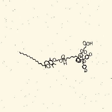 CCCCCCCCCCCCCCCCC1(C)CCc2c(C)c(OCCOC(=O)NCCCCCC(=O)N3CC(OC(=O)CCC(=O)O)CC3C(OCc3ccc(OC)cc3)(c3ccccc3)c3ccc(OC)cc3)c(C)c(C)c2O1